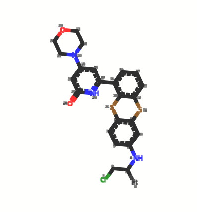 CCC(CCl)Nc1ccc2c(c1)Sc1cccc(-c3cc(N4CCOCC4)cc(=O)[nH]3)c1S2